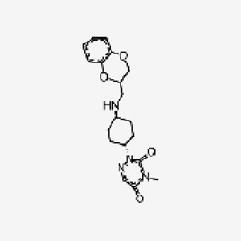 Cn1c(=O)cnn([C@H]2CC[C@H](NCC3COc4ccccc4O3)CC2)c1=O